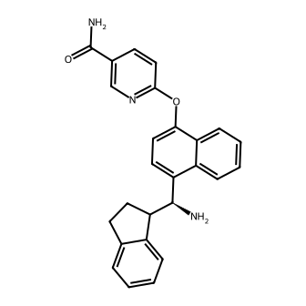 NC(=O)c1ccc(Oc2ccc([C@@H](N)C3CCc4ccccc43)c3ccccc23)nc1